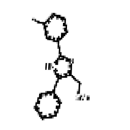 CSCc1nc(-c2cccc(F)c2)[nH]c1-c1ccccc1